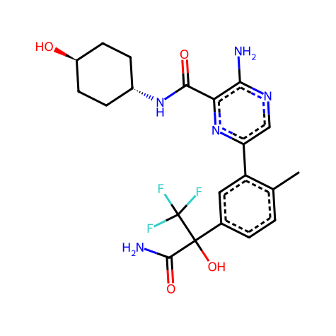 Cc1ccc(C(O)(C(N)=O)C(F)(F)F)cc1-c1cnc(N)c(C(=O)N[C@H]2CC[C@H](O)CC2)n1